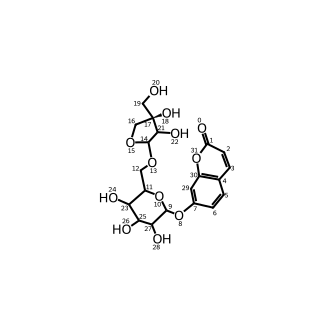 O=c1ccc2ccc(OC3OC(COC4OC[C@](O)(CO)C4O)C(O)C(O)C3O)cc2o1